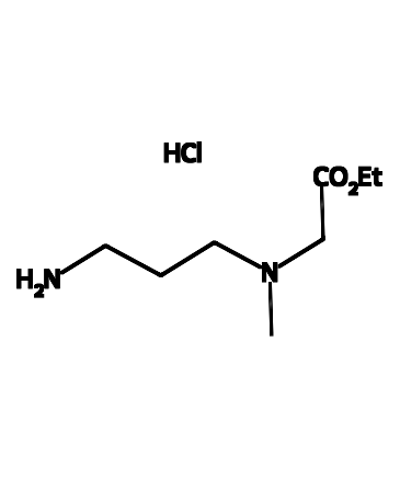 CCOC(=O)CN(C)CCCN.Cl